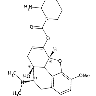 COc1ccc2c3c1O[C@H]1C(OC(=O)N4CCCCC4N)=CC[C@](O)(C31)[C@H](N(C)C)C2